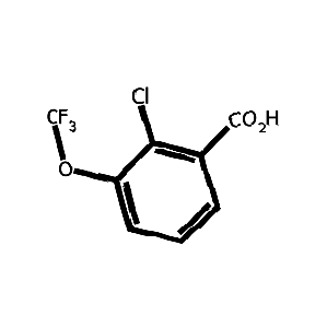 O=C(O)c1cccc(OC(F)(F)F)c1Cl